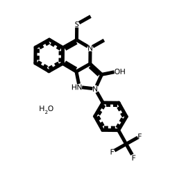 CSC1=c2ccccc2=C2NN(c3ccc(C(F)(F)F)cc3)C(O)=C2N1C.O